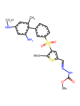 CSc1sc(C=NNC(=O)OC(C)(C)C)cc1S(=O)(=O)c1cccc(-c2c(C)cc(NC(=O)O)cc2N)c1